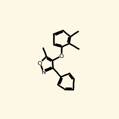 Cc1cccc(Oc2c(-c3ccccc3)noc2C)c1C